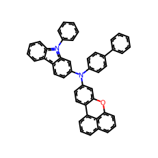 c1ccc(-c2ccc(N(c3ccc4c(c3)Oc3cccc5cccc-4c35)c3ccc4c5ccccc5n(-c5ccccc5)c4c3)cc2)cc1